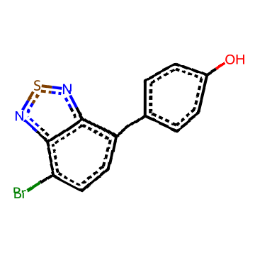 Oc1ccc(-c2ccc(Br)c3nsnc23)cc1